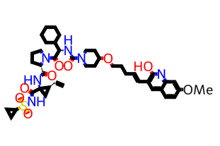 C=C[C@@H]1C[C@]1(NC(=O)[C@@H]1CCCN1C(=O)[C@@H](NC(=O)N1CCC(OCCC/C=C/c2cc3ccc(OC)cc3nc2O)CC1)C1CCCCC1)C(=O)NS(=O)(=O)C1CC1